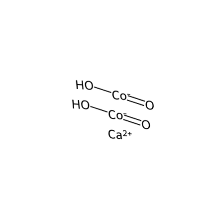 [Ca+2].[O]=[Co-][OH].[O]=[Co-][OH]